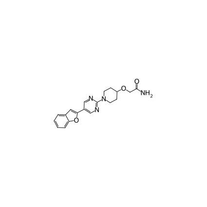 NC(=O)COC1CCN(c2ncc(-c3cc4ccccc4o3)cn2)CC1